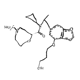 COCCCOc1cc(C(C)N(C(=O)[C@H]2CN(C(=O)O)CCO2)C2CC2)cc2occc12